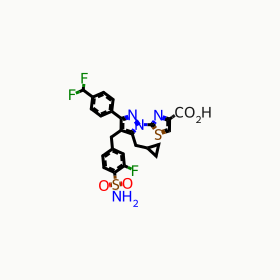 NS(=O)(=O)c1ccc(Cc2c(-c3ccc(C(F)F)cc3)nn(-c3nc(C(=O)O)cs3)c2CC2CC2)cc1F